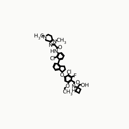 CCOc1cc(OC2CCc3c(-c4cccc(NC(=O)c5nc6c(n5C)CCN(C)C6)c4Cl)cccc32)c(Cl)c(F)c1CNC1(C(=O)O)CCC1